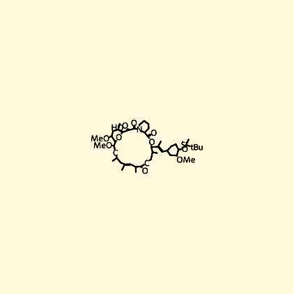 COC1CC(C=C(C)C2OC(=O)C3CCCCN3C(=O)C(=O)C3(O)OC(C(OC)CC(C)C/C(C)=C/C(C)C(=O)CCC2C)C(OC)CC3C)CCC1O[Si](C)(C)C(C)(C)C